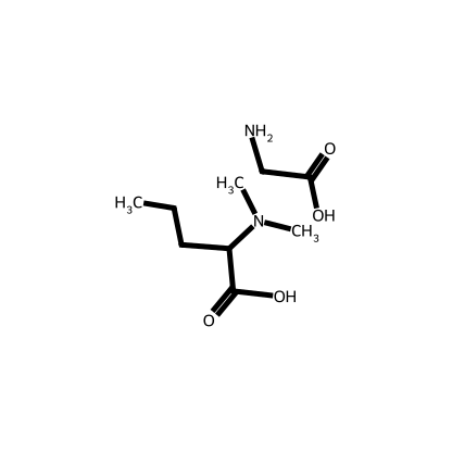 CCCC(C(=O)O)N(C)C.NCC(=O)O